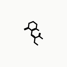 C=C1CCCC(C)=C1/C=C(/CC)C(=C)C